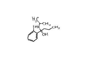 CCC[C@@](O)(NC(C)C)c1ccccc1I